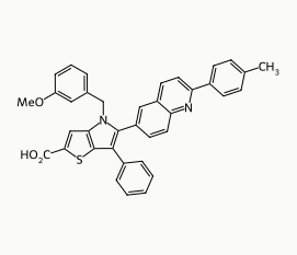 COc1cccc(Cn2c(-c3ccc4nc(-c5ccc(C)cc5)ccc4c3)c(-c3ccccc3)c3sc(C(=O)O)cc32)c1